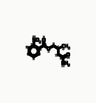 C[C@H](COC(=O)c1ccccc1[N+](=O)[O-])CC(N)=O